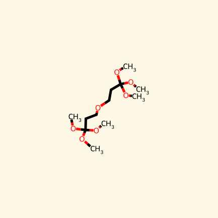 COC(CCOCCC(OC)(OC)OC)(OC)OC